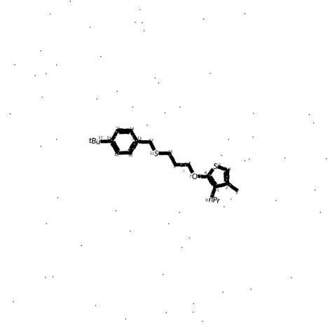 CCCc1c(C)csc1OCCCSCc1ccc(C(C)(C)C)cc1